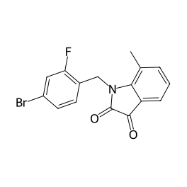 Cc1cccc2c1N(Cc1ccc(Br)cc1F)C(=O)C2=O